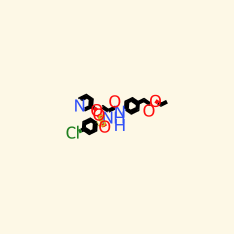 CCOC(=O)Cc1ccc(NC(=O)C(COc2cccnc2)NS(=O)(=O)c2ccc(Cl)cc2)cc1